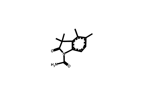 Cc1ccc2c(c1C)C(C)(C)C(=O)N2C(N)=O